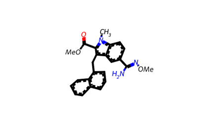 CO/N=C(\N)c1ccc2c(c1)c(Cc1cccc3ccccc13)c(C(=O)OC)n2C